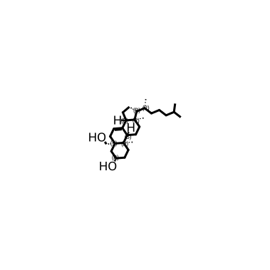 CC(C)CCC[C@@H](C)[C@H]1CC[C@H]2C3=CC[C@]4(CO)C[C@H](O)CC[C@]4(C)[C@H]3CC[C@]12C